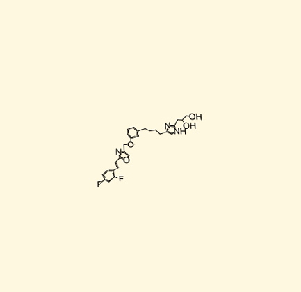 OCC(O)Cc1nc(CCCCc2cccc(OCc3coc(/C=C/c4ccc(F)cc4F)n3)c2)c[nH]1